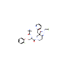 CC(C)(N)C(=O)NC(COc1ccccc1F)C(=O)N1CCC2=NN(CC(F)F)C(=O)C2(Cc2ccccn2)C1